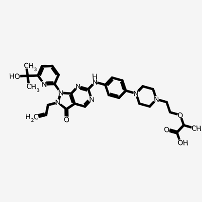 C=CCn1c(=O)c2cnc(Nc3ccc(N4CCN(CCOC(C)C(=O)O)CC4)cc3)nc2n1-c1cccc(C(C)(C)O)n1